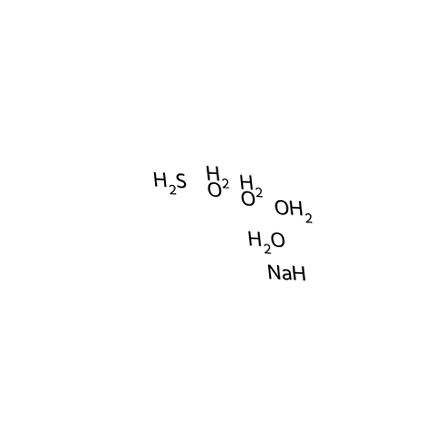 O.O.O.O.S.[NaH]